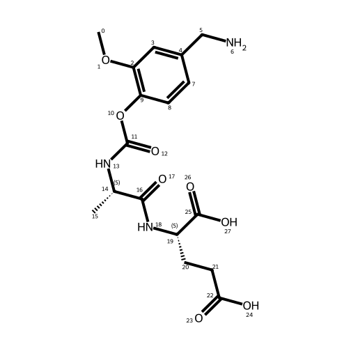 COc1cc(CN)ccc1OC(=O)N[C@@H](C)C(=O)N[C@@H](CCC(=O)O)C(=O)O